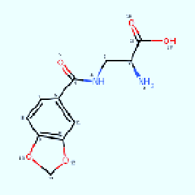 N[C@@H](CNC(=O)c1ccc2c(c1)OCO2)C(=O)O